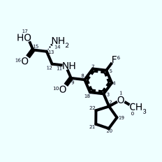 COC1(c2cc(F)cc(C(=O)NC[C@@H](N)C(=O)O)c2)CCCC1